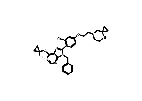 CC1(Oc2ncnc3c2nc(-c2ccc(OCCN4CCNC5(CC5)C4)cc2Cl)n3Cc2ccccc2)CC1